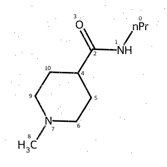 CCCNC(=O)C1CCN(C)CC1